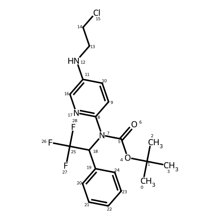 CC(C)(C)OC(=O)N(c1ccc(NCCCl)cn1)C(c1ccccc1)C(F)(F)F